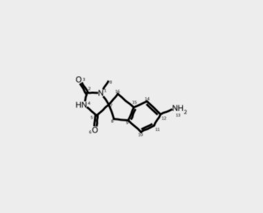 CN1C(=O)NC(=O)C12Cc1ccc(N)cc1C2